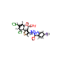 O=C(Nc1csc(-c2ccc(Cl)cc2Cl)c1C(=O)O)c1ccc(I)cc1